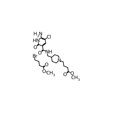 COC(=O)CCCBr.COC(=O)CCCN1CCC(CNC(=O)c2cc(Cl)c(N)[nH]c2=O)CC1